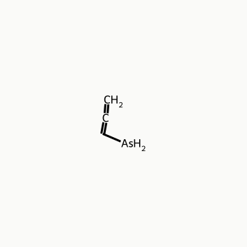 C=C=C[AsH2]